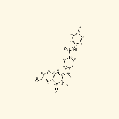 Cc1ccc(NC(=O)N2CCN(C(C)c3nc4ccc(Cl)cc4c(=O)n3C)CC2)cc1